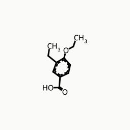 CCOc1ccc(C(=O)O)cc1CC